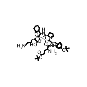 CC(C)(C)OC(=O)CC[C@H](N)C(=O)N[C@@H](Cc1ccc(OC(C)(C)C)cc1)C(=O)N1CCC[C@H]1C(=O)N[C@H](C(=O)N[C@@H](CCCCN)C(=O)O)C1CCCCC1